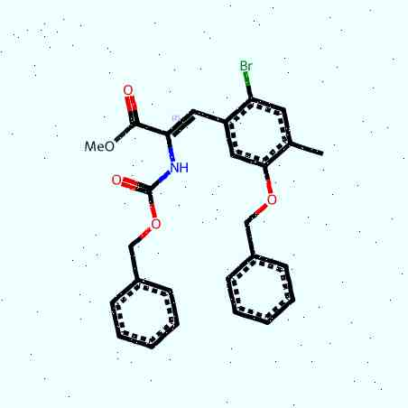 COC(=O)/C(=C/c1cc(OCc2ccccc2)c(C)cc1Br)NC(=O)OCc1ccccc1